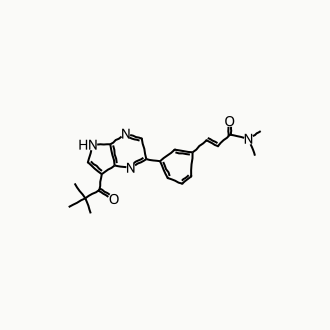 CN(C)C(=O)C=Cc1cccc(-c2cnc3[nH]cc(C(=O)C(C)(C)C)c3n2)c1